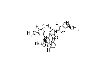 Cc1cc(-n2nc3c(c2-n2ccn(-c4ccc5c(cnn5C)c4F)c2=O)[C@@H]2CC[C@H](C3)N2C(=O)OC(C)(C)C)cc(C)c1F